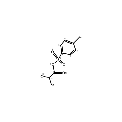 Cc1ccc(S(=O)(=O)OC(=O)C(C)Cl)cc1